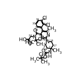 Cc1nc(N2CCC(C)(NC(=O)OC(C)(C)C)CC2)nc(C(=O)N(CC(=O)O)C(C)(C)C)c1-c1cccc(Cl)c1Cl